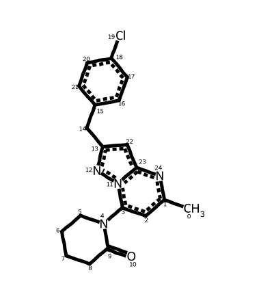 Cc1cc(N2CCCCC2=O)n2nc(Cc3ccc(Cl)cc3)cc2n1